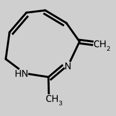 C=C1/C=C\C=C/CN/C(C)=N\1